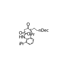 CCCCCCCCCCCCSC(=O)CS(=O)(=O)Nc1c(C(C)C)cccc1C(C)C